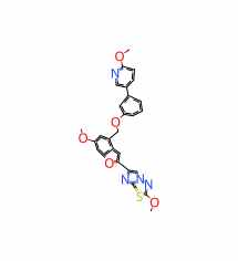 COc1cc(COc2cccc(-c3ccc(OC)nc3)c2)c2cc(-c3cn4nc(OC)sc4n3)oc2c1